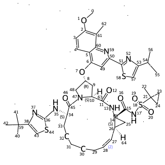 COc1ccc2c(O[C@@H]3C[C@H]4C(=O)N[C@]5(C(=O)NS(=O)(=O)C6(C)CC6)C[C@H]5/C=C\CCCCC[C@H](Nc5nc(C(C)(C)C)cs5)C(=O)N4C3)cc(-c3nc(C(C)C)cs3)nc2c1C